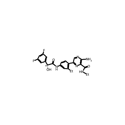 CCNC(=O)c1nc(-c2ccc(NC(=O)[C@H](O)c3cc(F)cc(F)c3)cc2CC)cnc1N